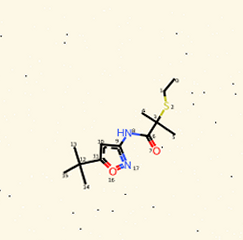 CCSC(C)(C)C(=O)Nc1cc(C(C)(C)C)on1